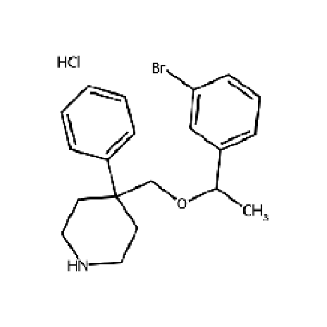 CC(OCC1(c2ccccc2)CCNCC1)c1cccc(Br)c1.Cl